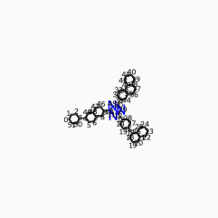 c1ccc(-c2ccc3cc(-c4nc(-c5ccc(-c6cccc7ccccc67)cc5)nc(-c5ccc6c(ccc7ccccc76)c5)n4)ccc3c2)cc1